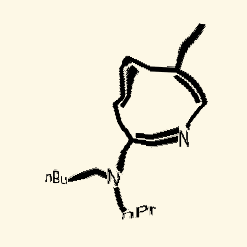 CCCCN(CCC)c1ccc(C)cn1